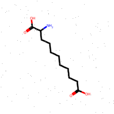 NC(CCCCCCCCC(=O)O)C(=O)O